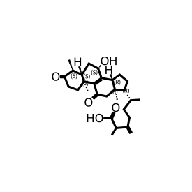 C=C(CCC(C)[C@H]1CC[C@H]2C3=C(C(=O)C[C@]12C)[C@@]1(C)CCC(=O)[C@@H](C)[C@@H]1C[C@@H]3O)C(C)C(=O)O